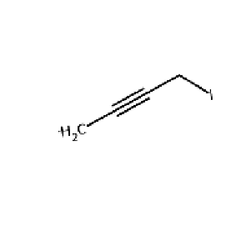 [CH2]C#CCI